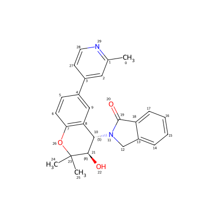 Cc1cc(-c2ccc3c(c2)[C@H](N2Cc4ccccc4C2=O)[C@@H](O)C(C)(C)O3)ccn1